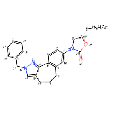 CC(=O)NC[C@H]1CN(c2ccc3c(c2)CCCc2cn(Cc4ccccc4)nc2-3)C(=O)O1